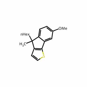 CCCCCCC1(C)c2ccc(OC)cc2-c2sccc21